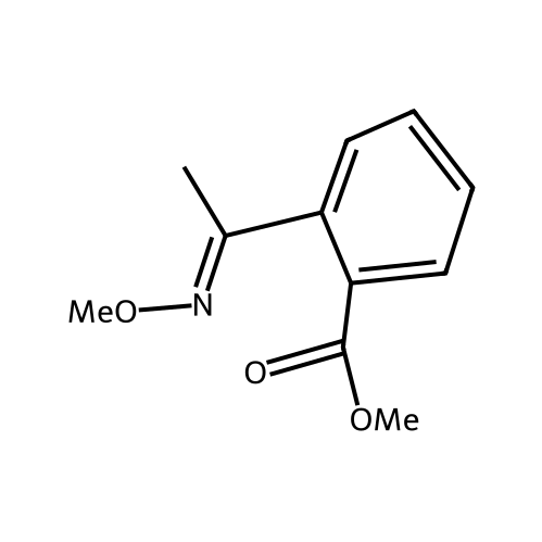 CON=C(C)c1ccccc1C(=O)OC